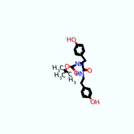 CC(C)(C)OC(=O)NC(Cc1ccc(O)cc1)C(=O)NCCc1ccc(O)cc1